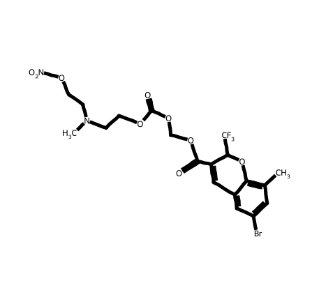 Cc1cc(Br)cc2c1OC(C(F)(F)F)C(C(=O)OCOC(=O)OCCN(C)CCO[N+](=O)[O-])=C2